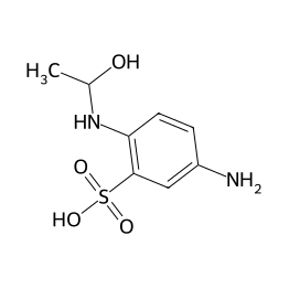 CC(O)Nc1ccc(N)cc1S(=O)(=O)O